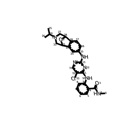 CNC(=O)c1ccccc1Nc1nc(Nc2ccc3c(c2)C2CN(C(C)C)CC3O2)ncc1Cl